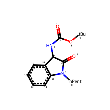 CCCCCN1C(=O)C(NC(=O)OC(C)(C)C)c2ccccc21